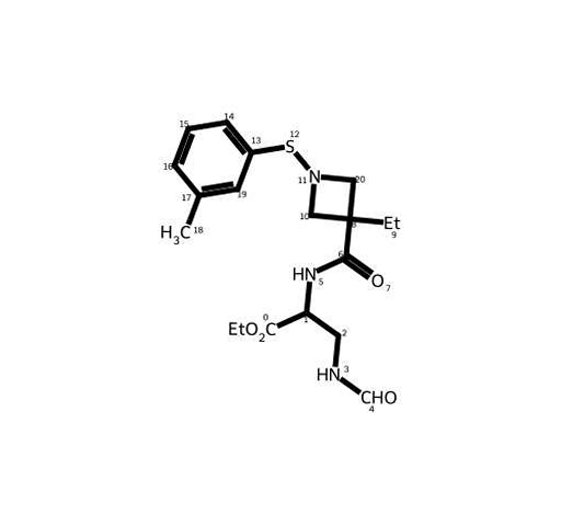 CCOC(=O)C(CNC=O)NC(=O)C1(CC)CN(Sc2cccc(C)c2)C1